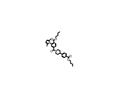 CCCCOC(=O)c1ccc(C2CCN(C(=O)c3ccc(C(=O)OCCCC)c(-n4c(C)ccc4C)c3)CC2)cc1